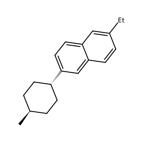 CCc1ccc2cc([C@H]3CC[C@H](C)CC3)ccc2c1